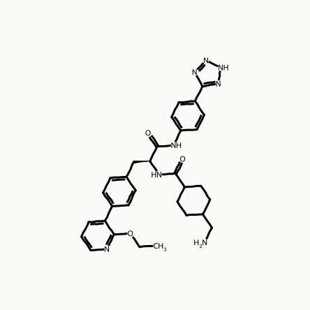 CCOc1ncccc1-c1ccc(C[C@H](NC(=O)C2CCC(CN)CC2)C(=O)Nc2ccc(-c3nn[nH]n3)cc2)cc1